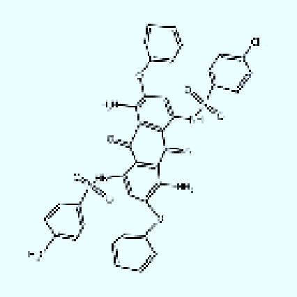 Cc1ccc(S(=O)(=O)Nc2cc(Oc3ccccc3)c(N)c3c2C(=O)c2c(N)c(Oc4ccccc4)cc(NS(=O)(=O)c4ccc(C)cc4)c2C3=O)cc1